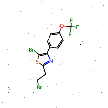 FC(F)(F)Oc1ccc(-c2nc(CCBr)sc2Br)cc1